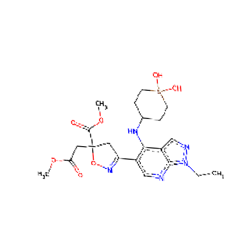 CCn1ncc2c(NC3CCS(O)(O)CC3)c(C3=NOC(CC(=O)OC)(C(=O)OC)C3)cnc21